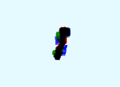 O=C(CCc1cc(Cl)c(CNC2(C(=O)N3CCN(C4CC4)c4ccccc43)CC2)cc1Cl)NCCOCCOCCNC(=O)CCc1cc(Cl)c(CNC2(C(=O)N3CCN(C4CC4)c4ccccc43)CC2)cc1Cl